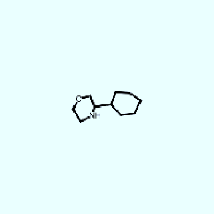 C1CCC(C2COCCN2)CC1